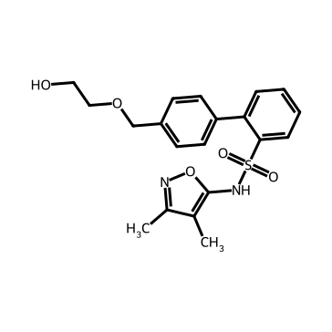 Cc1noc(NS(=O)(=O)c2ccccc2-c2ccc(COCCO)cc2)c1C